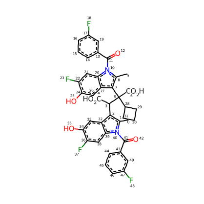 Cc1c(C(C(=O)O)C(C(=O)O)(c2c(C)n(C(=O)c3cccc(F)c3)c3cc(F)c(O)cc23)C2CCC2)c2cc(O)c(F)cc2n1C(=O)c1cccc(F)c1